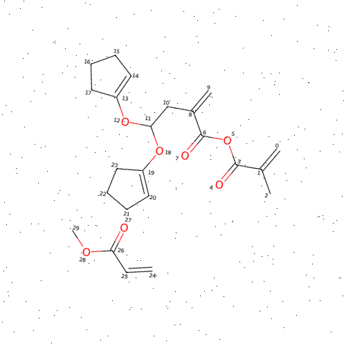 C=C(C)C(=O)OC(=O)C(=C)CC(OC1=CCCC1)OC1=CCCC1.C=CC(=O)OC